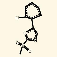 CS(=O)(=O)c1ncc(-c2ccccc2Cl)o1